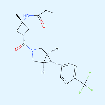 CCC(=O)N[C@]1(C)C[C@H](C(=O)N2C[C@@H]3[C@H](C2)[C@H]3c2ccc(C(F)(F)F)cc2)C1